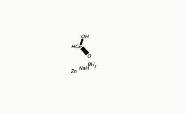 B.[NaH].[O]=[GeH][OH].[Zn]